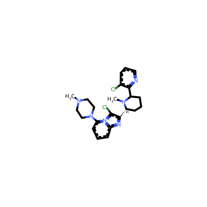 CN1CCN(c2cccc3nc([C@H]4CCCC(c5ncccc5Cl)N4C)c(Cl)n23)CC1